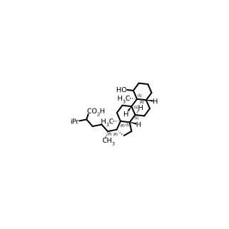 CC(C)C(CC[C@@H](C)[C@H]1CC[C@H]2[C@@H]3CC[C@H]4CCCC(O)[C@]4(C)[C@H]3CC[C@]12C)C(=O)O